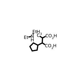 CC(C(=O)O)C(C(=O)O)C1CCCC1.CCNCC